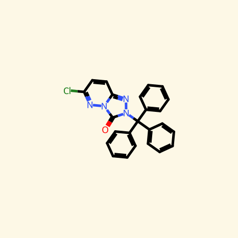 O=c1n(C(c2ccccc2)(c2ccccc2)c2ccccc2)nc2ccc(Cl)nn12